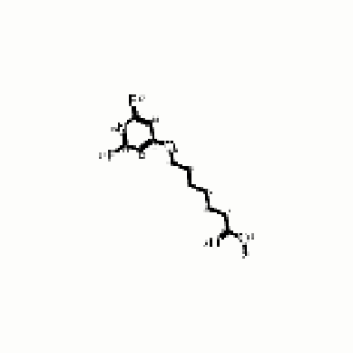 COC(=O)CCCCCCOc1cc(F)nc(F)c1